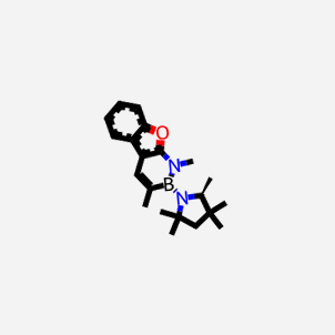 CC1=Cc2c(oc3ccccc23)N(C)B1N1[C@@H](C)C(C)(C)CC1(C)C